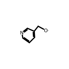 [O]Cc1cccnc1